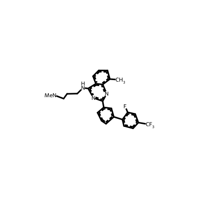 CNCCCNc1nc(-c2cccc(-c3ccc(C(F)(F)F)cc3F)c2)nc2c(C)cccc12